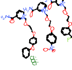 NC(=O)c1ccc[n+](COCCOc2ccc(Oc3ccccc3)cc2)c1.NC(=O)c1ccc[n+](COCCOc2ccc([N+](=O)[O-])cc2)c1.NC(=O)c1ccc[n+](COCCOc2cccc(C(F)(F)F)c2)c1.[Cl-].[Cl-].[Cl-]